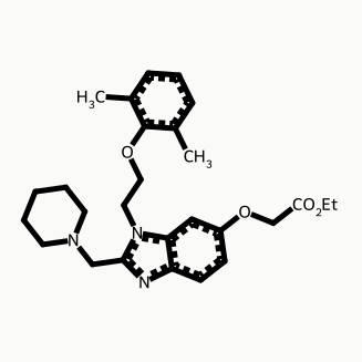 CCOC(=O)COc1ccc2nc(CN3CCCCC3)n(CCOc3c(C)cccc3C)c2c1